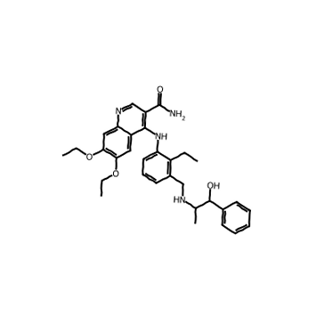 CCOc1cc2ncc(C(N)=O)c(Nc3cccc(CNC(C)C(O)c4ccccc4)c3CC)c2cc1OCC